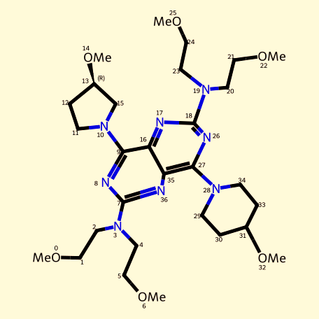 COCCN(CCOC)c1nc(N2CC[C@@H](OC)C2)c2nc(N(CCOC)CCOC)nc(N3CCC(OC)CC3)c2n1